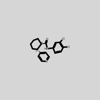 O=C(Nc1ccc(Cl)c(Cl)c1)[C@@H]1CCCC[C@H]1c1ccncc1